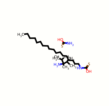 C.CC(C)C(C)(N)C(C)C.CCCCCCCCCCCCCCCCCCNC(O)=S.NC(O)=S